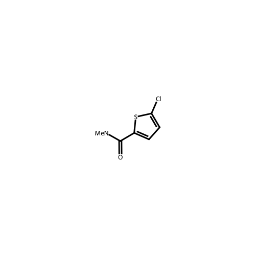 CNC(=O)c1ccc(Cl)s1